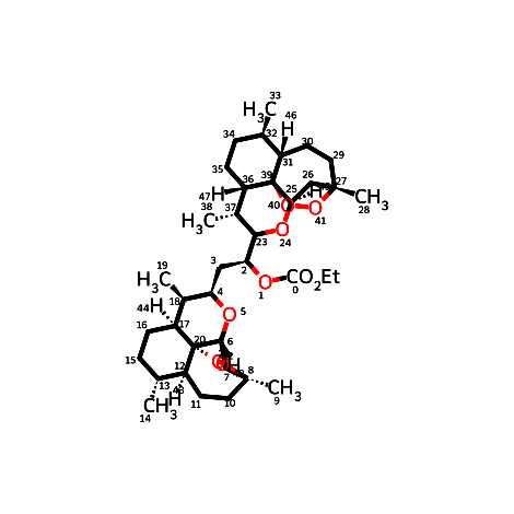 CCOC(=O)O[C@@H](C[C@H]1O[C@@H]2C[C@]3(C)CC[C@H]4[C@H](C)CC[C@@H]([C@H]1C)[C@@]24OO3)C1O[C@@H]2C[C@]3(C)CC[C@H]4[C@H](C)CC[C@@H]([C@H]1C)[C@@]24OO3